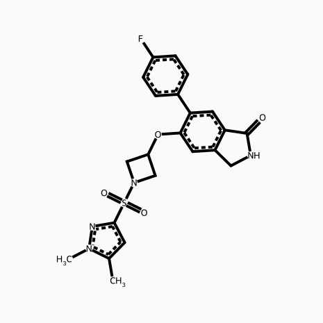 Cc1cc(S(=O)(=O)N2CC(Oc3cc4c(cc3-c3ccc(F)cc3)C(=O)NC4)C2)nn1C